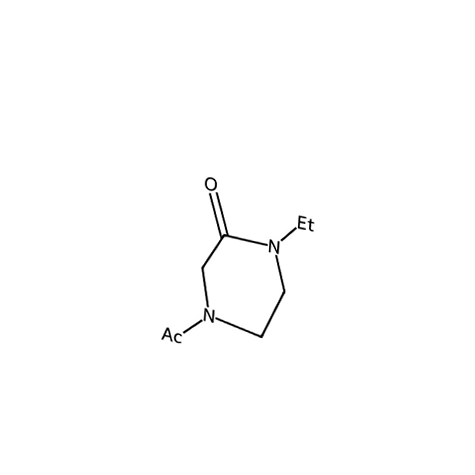 [CH2]CN1CCN(C(C)=O)CC1=O